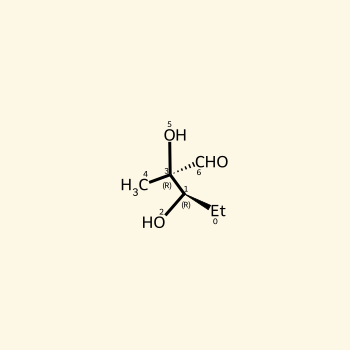 CC[C@@H](O)[C@@](C)(O)C=O